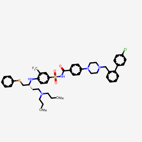 COCCN(CCOC)CC[C@H](CSc1ccccc1)Nc1ccc(S(=O)(=O)NC(=O)c2ccc(N3CCN(Cc4ccccc4-c4ccc(Cl)cc4)CC3)cc2)cc1C(F)(F)F